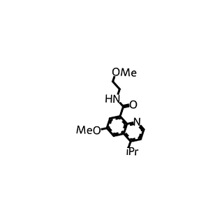 COCCNC(=O)c1cc(OC)cc2c(C(C)C)ccnc12